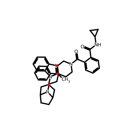 Cc1nc2ccccc2n1C1CC2CCC(C1)N2CCC1(c2ccccc2)CCN(C(=O)c2ccccc2C(=O)NC2CC2)CC1